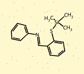 C[Si](C)(C)Sc1ccccc1C=Nc1ccccc1